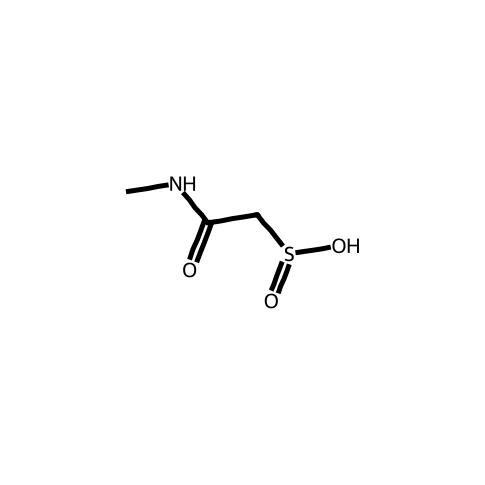 CNC(=O)CS(=O)O